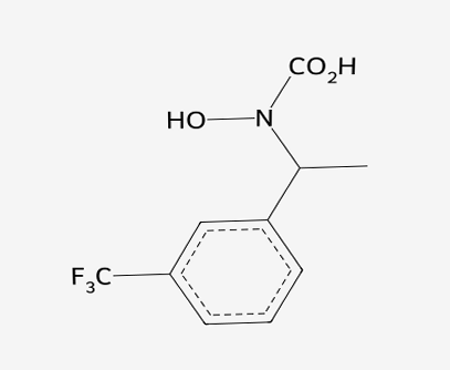 CC(c1cccc(C(F)(F)F)c1)N(O)C(=O)O